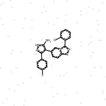 Nc1[nH]nc(-c2ccc(F)cc2)c1-c1ccc2nnc(-c3ccccc3Cl)n2c1